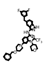 O=C(Nc1n[nH]c2ccc(Cc3cc(F)cc(F)c3)cc12)c1ccc(N2CCC(OCc3ccccc3)CC2)cc1N(C(=O)C(F)(F)F)C1CCOCC1